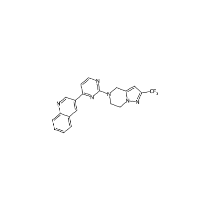 FC(F)(F)c1cc2n(n1)CCN(c1nccc(-c3cnc4ccccc4c3)n1)C2